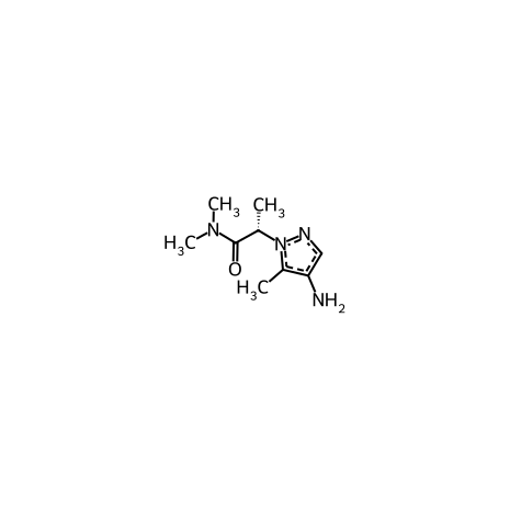 Cc1c(N)cnn1[C@@H](C)C(=O)N(C)C